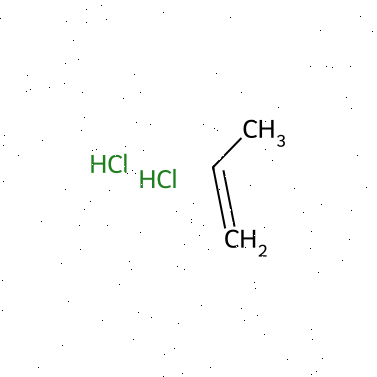 C=CC.Cl.Cl